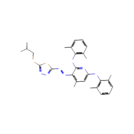 CCCCC(CC)CSc1nnc(N=Nc2c(C)cc(Nc3c(C)cccc3C)nc2Nc2c(C)cccc2C)s1